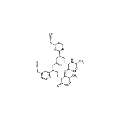 C#CSc1ccnc(C(CC(=O)CC(SC[C@H](NC(C)=O)C(=O)O)c2cc(SC#N)ncn2)SC[C@H](NC(C)=O)C(=O)O)n1